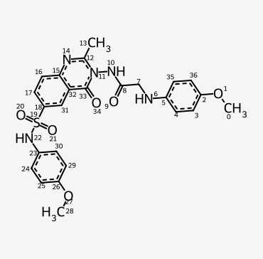 COc1ccc(NCC(=O)Nn2c(C)nc3ccc(S(=O)(=O)Nc4ccc(OC)cc4)cc3c2=O)cc1